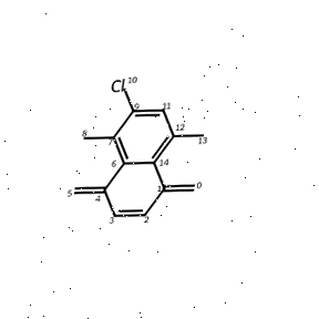 C=c1ccc(=C)c2c(C)c(Cl)cc(C)c12